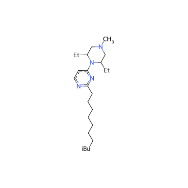 CCC(C)CCCCCCCc1nccc(N2C(CC)CN(C)CC2CC)n1